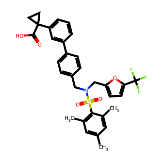 Cc1cc(C)c(S(=O)(=O)N(Cc2ccc(-c3cccc(C4(C(=O)O)CC4)c3)cc2)Cc2ccc(C(F)(F)F)o2)c(C)c1